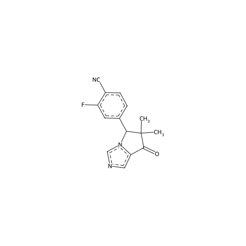 CC1(C)C(=O)c2cncn2C1c1ccc(C#N)c(F)c1